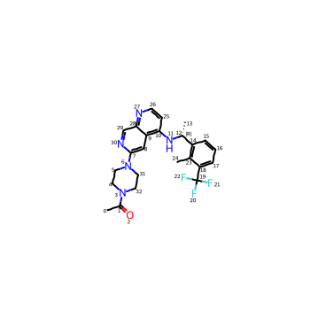 CC(=O)N1CCN(c2cc3c(N[C@H](C)c4cccc(C(F)(F)F)c4C)ccnc3cn2)CC1